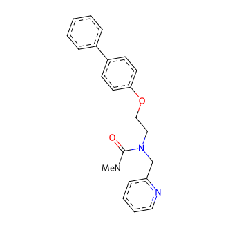 CNC(=O)N(CCOc1ccc(-c2ccccc2)cc1)Cc1ccccn1